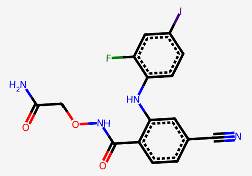 N#Cc1ccc(C(=O)NOCC(N)=O)c(Nc2ccc(I)cc2F)c1